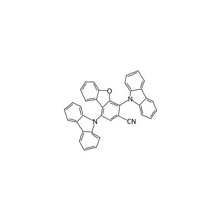 N#Cc1cc(-n2c3ccccc3c3ccccc32)c2c(oc3ccccc32)c1-n1c2ccccc2c2ccccc21